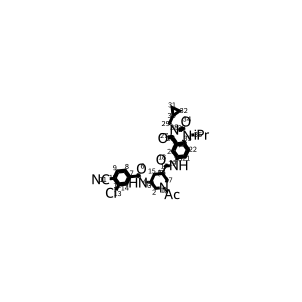 CC(=O)N1C[C@@H](NC(=O)c2ccc(C#N)c(Cl)c2)C[C@@H](C(=O)Nc2ccc3c(c2)c(=O)n(CC2CC2)c(=O)n3C(C)C)C1